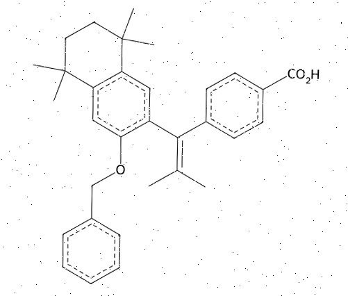 CC(C)=C(c1ccc(C(=O)O)cc1)c1cc2c(cc1OCc1ccccc1)C(C)(C)CCC2(C)C